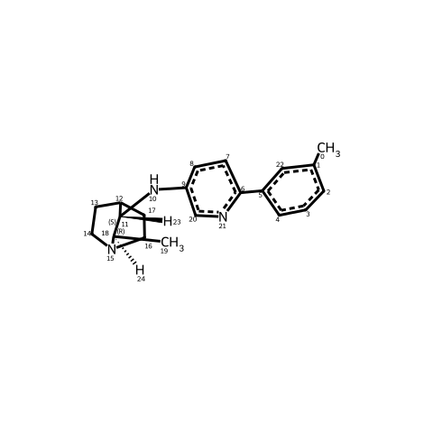 Cc1cccc(-c2ccc(N[C@H]3C4CCN(CC4)[C@@H]3C)cn2)c1